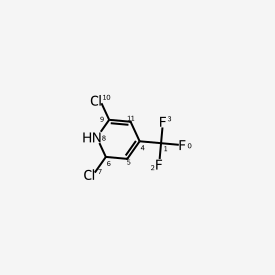 FC(F)(F)C1=CC(Cl)NC(Cl)=C1